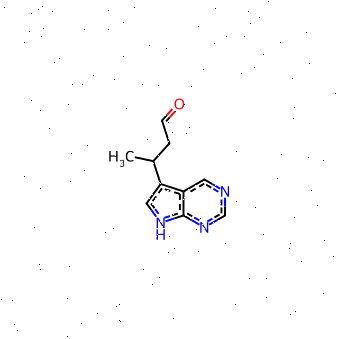 CC(CC=O)c1c[nH]c2ncncc12